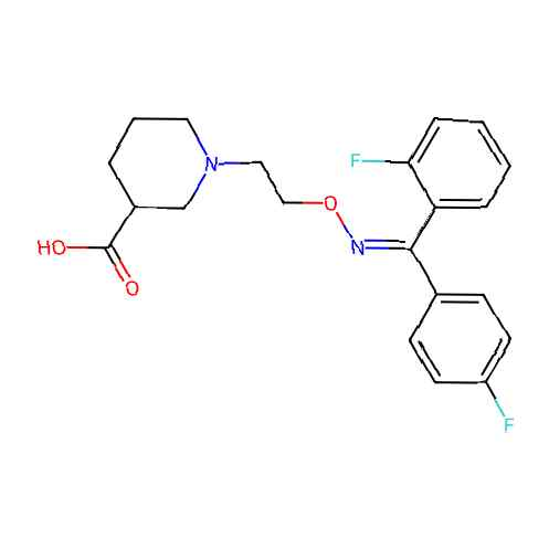 O=C(O)C1CCCN(CCON=C(c2ccc(F)cc2)c2ccccc2F)C1